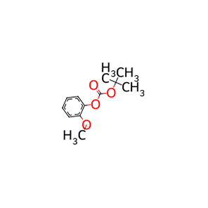 COc1ccccc1OC(=O)OC(C)(C)C